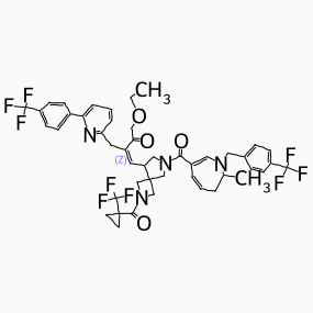 CCOCC(=O)/C(=C\C1CN(C(=O)C2=CN(Cc3ccc(C(F)(F)F)cc3)C(C)CC=C2)CC12CN(C(=O)C1(C(F)(F)F)CC1)C2)Cc1cccc(-c2ccc(C(F)(F)F)cc2)n1